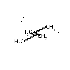 C=Cc1cc(CCCCCCCC)c(C=C)cc1CCCCCCCC